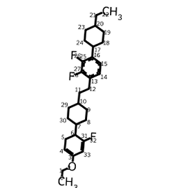 CCOC1=CCC(C2CCC(CCc3ccc(C4CCC(CC)CC4)c(F)c3F)CC2)C(F)=C1